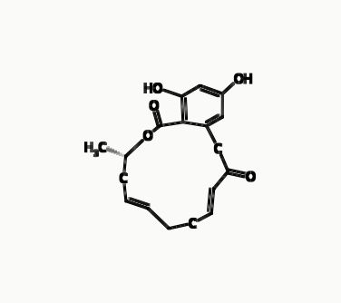 C[C@H]1C/C=C/CC/C=C/C(=O)Cc2cc(O)cc(O)c2C(=O)O1